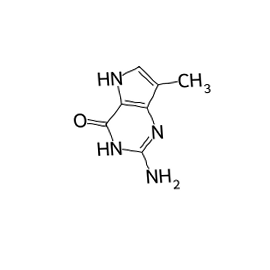 Cc1c[nH]c2c(=O)[nH]c(N)nc12